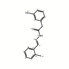 O=C(Cc1cccc(O)c1)N/N=C/c1ccccc1I